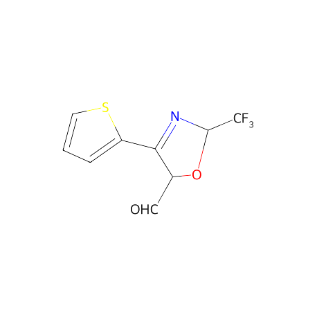 O=CC1OC(C(F)(F)F)N=C1c1cccs1